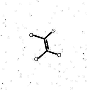 [S]C(Cl)=C(Cl)Cl